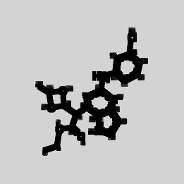 CCOC(=O)C(c1cc(Nc2cccc(Cl)c2)nc2ccnn12)C1OC(C)O1